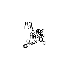 CC(C)(CCNC(=O)c1ccccc1)C[C@@H]1N[C@@H](C(=O)NCC[C@H](O)CO)[C@H](c2cccc(Cl)c2F)[C@@]1(C#N)c1ccc(Cl)cc1F